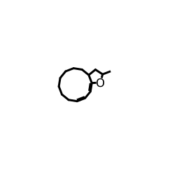 CC1CC2CCCCCCCC=CC=C2O1